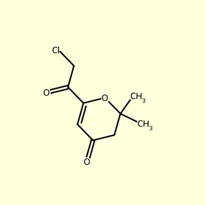 CC1(C)CC(=O)C=C(C(=O)CCl)O1